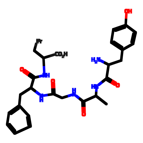 CC(C)CC(NC(=O)C(Cc1ccccc1)NC(=O)CNC(=O)C(C)NC(=O)C(N)Cc1ccc(O)cc1)C(=O)O